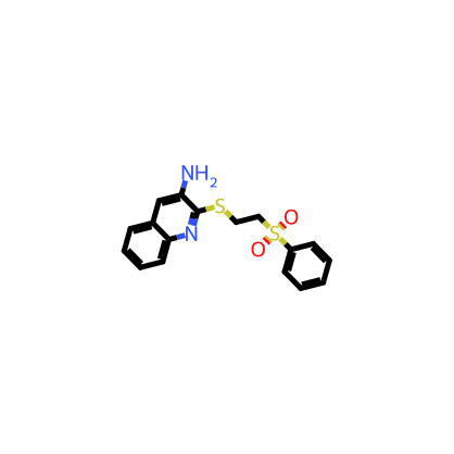 Nc1cc2ccccc2nc1SCCS(=O)(=O)c1ccccc1